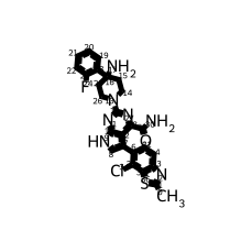 Cc1nc2ccc(-c3c[nH]c4nc(N5CCC(N)(c6ccccc6F)CC5)nc(C(N)=O)c34)c(Cl)c2s1